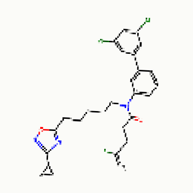 C=C(F)CCC(=O)N(CCCCCc1nc(C2CC2)no1)c1cccc(-c2cc(Cl)cc(Cl)c2)c1